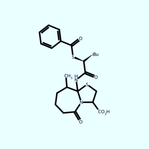 CC[C@H](C)[C@H](SC(=O)c1ccccc1)C(=O)NC12SCC(C(=O)O)N1C(=O)CCCC2C